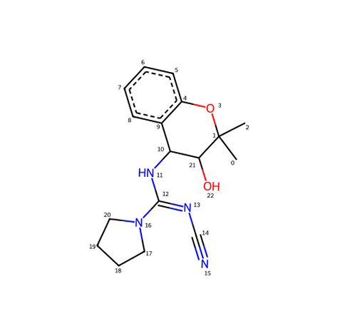 CC1(C)Oc2ccccc2C(NC(=NC#N)N2CCCC2)C1O